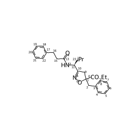 CCOC(=O)C1(Cc2ccccc2)CC([C@@H](NC(=O)CCc2ccccc2)C(C)C)=NO1